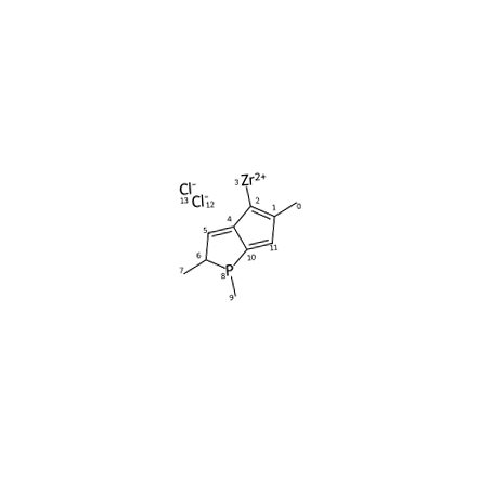 CC1=[C]([Zr+2])C2=CC(C)P(C)C2=C1.[Cl-].[Cl-]